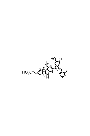 C[C@@]1(c2ccc(CCC(=O)O)cc2)C(=O)Nc2nc(-c3nn(Cc4ccccc4F)c4cc(Cl)c(O)cc34)nc(N)c21